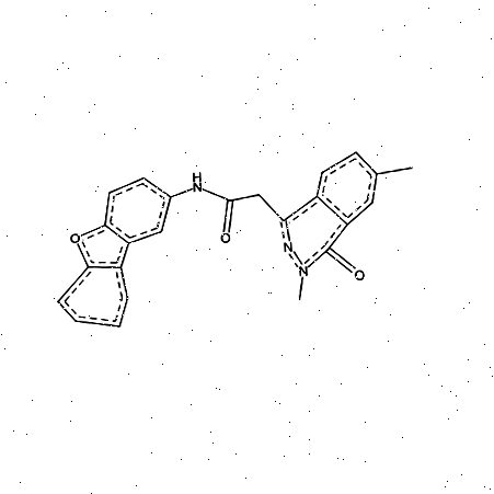 Cc1ccc2c(CC(=O)Nc3ccc4oc5ccccc5c4c3)nn(C)c(=O)c2c1